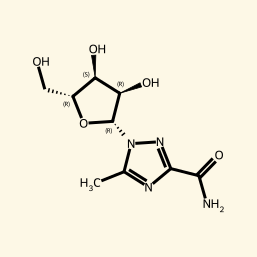 Cc1nc(C(N)=O)nn1[C@@H]1O[C@H](CO)[C@@H](O)[C@H]1O